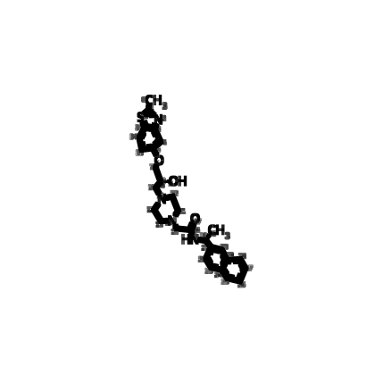 Cc1nc2cc(OC[C@H](O)CN3CCN(CC(=O)N[C@@H](C)c4ccc5ccccc5c4)CC3)ccc2s1